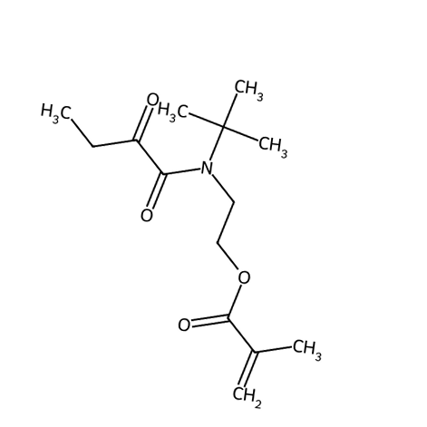 C=C(C)C(=O)OCCN(C(=O)C(=O)CC)C(C)(C)C